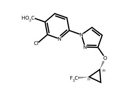 O=C(O)c1ccc(-n2ccc(O[C@@H]3C[C@@H]3C(F)(F)F)n2)nc1Cl